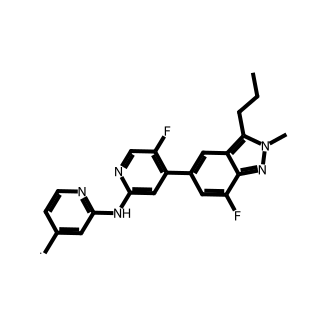 [CH2]c1ccnc(Nc2cc(-c3cc(F)c4nn(C)c(CCC)c4c3)c(F)cn2)c1